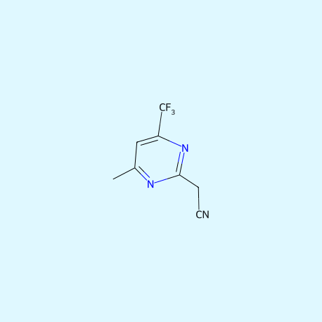 Cc1cc(C(F)(F)F)nc(CC#N)n1